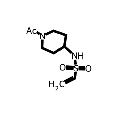 C=CS(=O)(=O)NC1CCN(C(C)=O)CC1